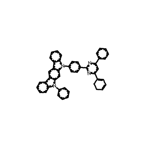 C1=CCCC(c2cc(-c3ccccc3)nc(-c3ccc(-n4c5ccccc5c5cc6c7ccccc7n(-c7ccccc7)c6cc54)cc3)n2)=C1